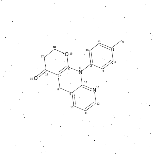 Cc1ccc(N2C3=C(Cc4cccnc42)C(=O)CCO3)cc1